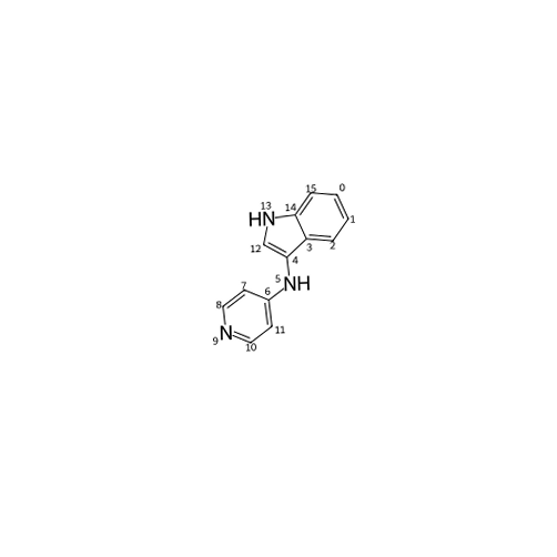 c1ccc2c(Nc3ccncc3)c[nH]c2c1